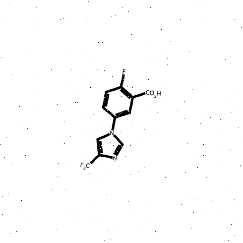 O=C(O)c1cc(-n2cnc(C(F)(F)F)c2)ccc1F